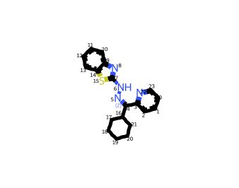 c1ccc(/C(=N\Nc2nc3ccccc3s2)C2CCCCC2)nc1